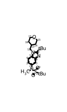 CN(c1ccc2c(c1)nc(C(C)(C)C)n2CC1CCOCC1)S(=O)(=O)C(C)(C)C